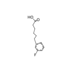 O=C(O)CCCCCc1cccc(F)c1